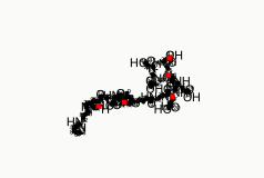 Cc1cc(OCCCC(=O)NCCNC(=O)C(CCC(=O)O)NC(=O)[C@H](CCC(=O)O)NC(=O)CN2CCN(CC(=O)O)CCN(CC(=O)O)CCN(CC(=O)O)CC2)cc(C)c1S(=O)(=O)N[C@@H](CNC(=O)c1ccc2c(cnn2CCCNc2ccccn2)c1)C(=O)O